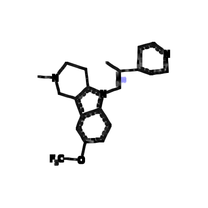 C/C(=C\n1c2c(c3cc(OC(F)(F)F)ccc31)CN(C)CC2)c1ccncc1